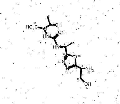 CC(O)C(NC(=O)N[C@@H](C)c1nnc([C@@H](N)CO)o1)C(=O)O